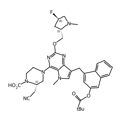 CN1C[C@H](F)C[C@H]1COc1nc(N2CCN(C(=O)O)[C@@H](CC#N)C2)c2c(n1)c(Cc1cc(OC(=O)C(C)(C)C)cc3ccccc13)cn2C